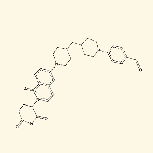 O=Cc1ccc(N2CCC(CN3CCN(c4ccc5c(=O)n(C6CCC(=O)NC6=O)ccc5c4)CC3)CC2)cc1